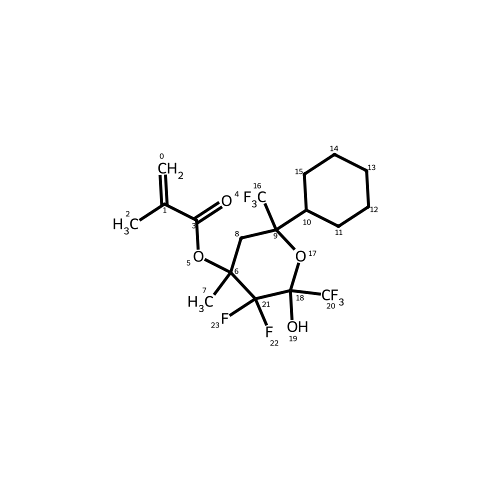 C=C(C)C(=O)OC1(C)CC(C2CCCCC2)(C(F)(F)F)OC(O)(C(F)(F)F)C1(F)F